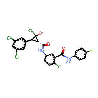 O=C(Nc1ccc(F)cc1)c1cc(NC(=O)[C@@H]2C(c3cc(Cl)cc(Cl)c3)[C@]2(Cl)Br)ccc1Cl